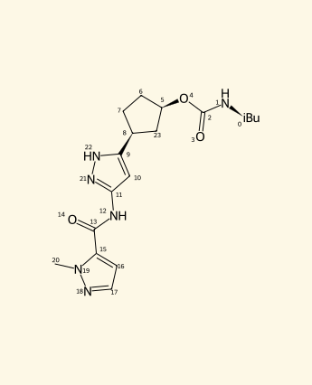 CC[C@H](C)NC(=O)O[C@@H]1CC[C@H](c2cc(NC(=O)c3ccnn3C)n[nH]2)C1